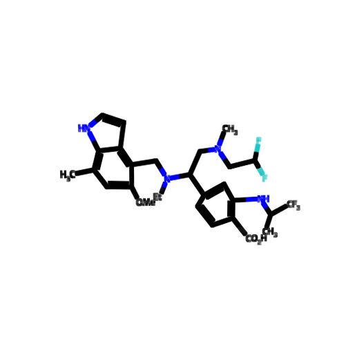 CCN(Cc1c(OC)cc(C)c2[nH]ccc12)C(CN(C)CC(F)F)c1ccc(C(=O)O)c(NC(C)C(F)(F)F)c1